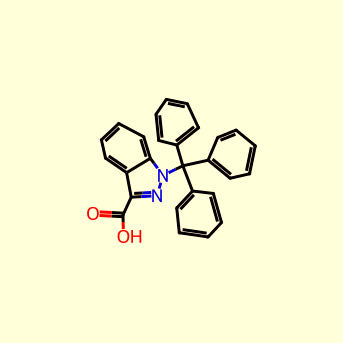 O=C(O)c1nn(C(c2ccccc2)(c2ccccc2)c2ccccc2)c2ccccc12